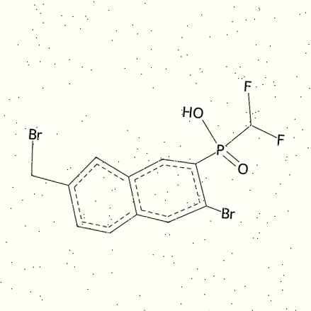 O=P(O)(c1cc2cc(CBr)ccc2cc1Br)C(F)F